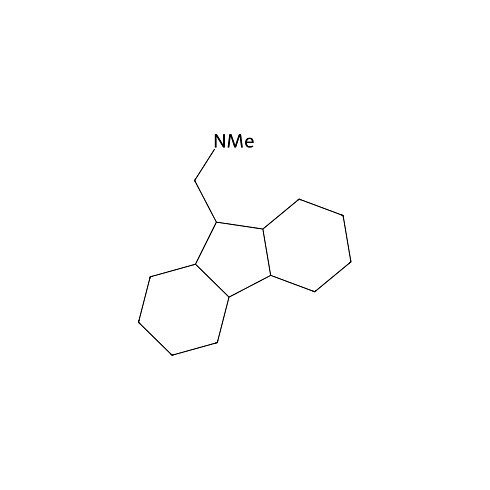 CNCC1C2CCCCC2C2CCCCC21